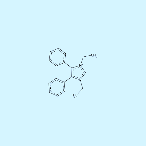 CCn1c[n+](CC)c(-c2ccccc2)c1-c1ccccc1